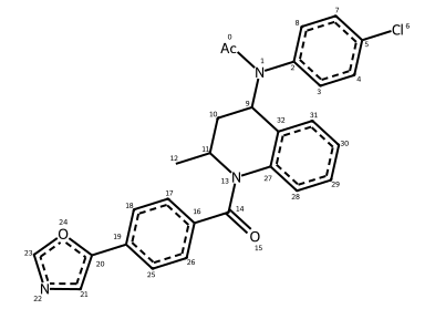 CC(=O)N(c1ccc(Cl)cc1)C1CC(C)N(C(=O)c2ccc(-c3cnco3)cc2)c2ccccc21